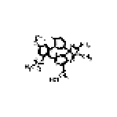 CCc1cc(C2(c3ccc(F)c(-c4cc(OC)cc(OS(C)(=O)=O)c4)c3)N=C(N)N(C)C2=O)cc(CC)n1.Cl